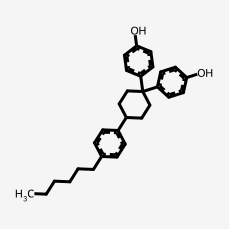 CCCCCCc1ccc(C2CCC(c3ccc(O)cc3)(c3ccc(O)cc3)CC2)cc1